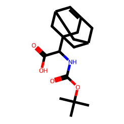 CC(C)(C)OC(=O)NC(C(=O)O)C12CC3=CC(CC(C3)C1)C2